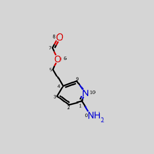 Nc1ccc(COC=O)cn1